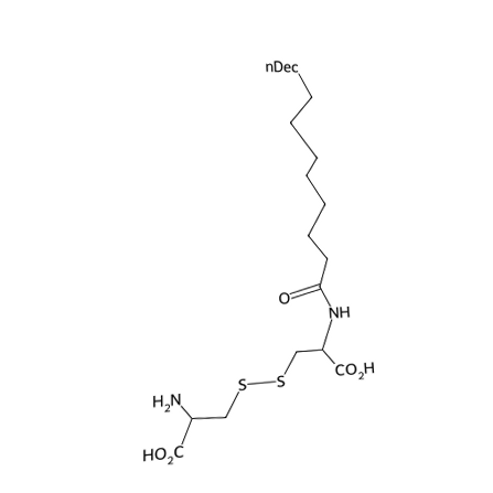 CCCCCCCCCCCCCCCCCC(=O)NC(CSSCC(N)C(=O)O)C(=O)O